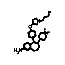 Nc1ccc2c(c1)CCCC(C1=CCC(F)(F)CC1)=C2c1ccc(O[C@H]2CCN(CCCF)C2)cc1